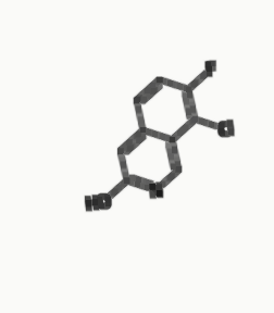 Oc1cc2ccc(F)c(Cl)c2cn1